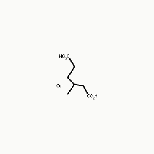 CC(CCC(=O)O)CC(=O)O.[Cu]